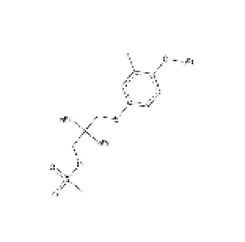 CCCOc1ccc(SCC(CCC)(CCC)COS(C)(=O)=O)cc1C